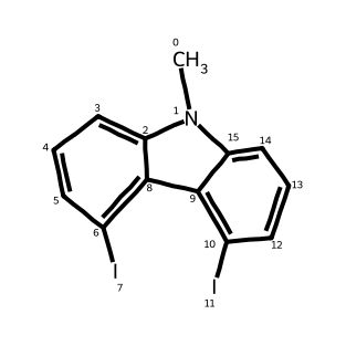 Cn1c2cccc(I)c2c2c(I)cccc21